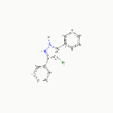 Cn1nc(-c2ccccc2)c(Br)c1-c1ccccc1